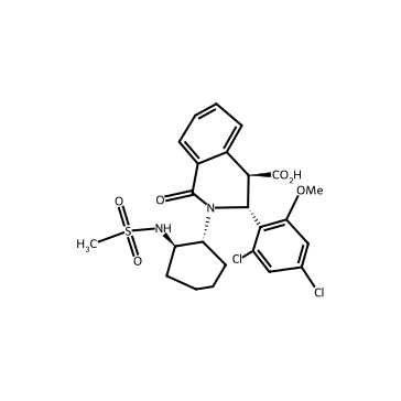 COc1cc(Cl)cc(Cl)c1[C@H]1[C@H](C(=O)O)c2ccccc2C(=O)N1[C@@H]1CCCC[C@H]1NS(C)(=O)=O